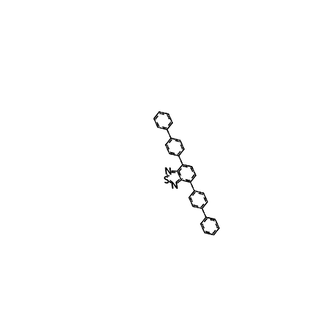 c1ccc(-c2ccc(-c3ccc(-c4ccc(-c5ccccc5)cc4)c4nsnc34)cc2)cc1